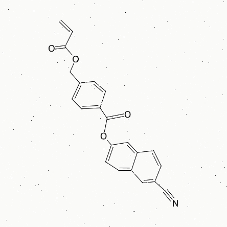 C=CC(=O)OCc1ccc(C(=O)Oc2ccc3cc(C#N)ccc3c2)cc1